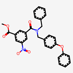 COC(=O)c1cc(C(=O)N(Cc2ccccc2)Cc2ccc(Oc3ccccc3)cc2)cc([N+](=O)[O-])c1